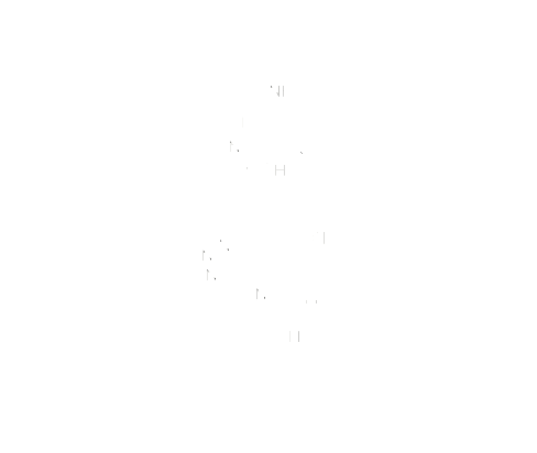 CC(C)CN(C[C@@H](O)[C@H](Cc1ccccc1)OC(N)=O)S(=O)(=O)c1ccc(-n2cc(CN3C(=O)C(O)(C(O)CC4CC4)c4cc(Cl)ccc43)nn2)cc1